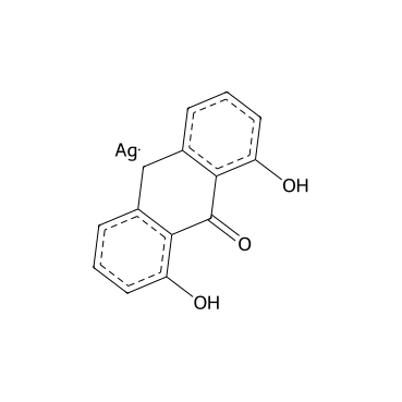 O=C1c2c(O)cccc2Cc2cccc(O)c21.[Ag]